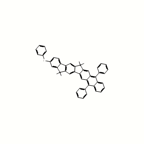 CC1(C)c2cc(Nc3ccccc3)ccc2-c2cc3c(cc21)-c1cc2c(-c4ccccc4)c4ccccc4c(-c4ccccc4)c2cc1C3(C)C